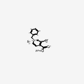 COC(=O)c1cc[n+](Cc2ccccc2)cc1Br.[Br-]